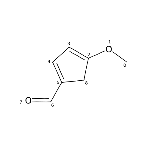 COC1=CC=C(C=O)C1